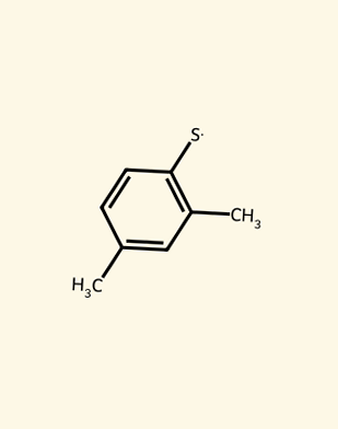 Cc1ccc([S])c(C)c1